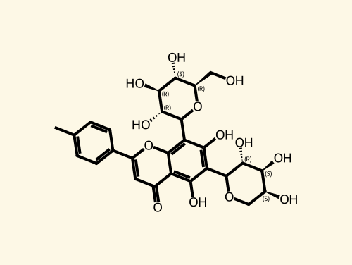 Cc1ccc(-c2cc(=O)c3c(O)c(C4OC[C@H](O)[C@H](O)[C@H]4O)c(O)c(C4O[C@H](CO)[C@@H](O)[C@H](O)[C@H]4O)c3o2)cc1